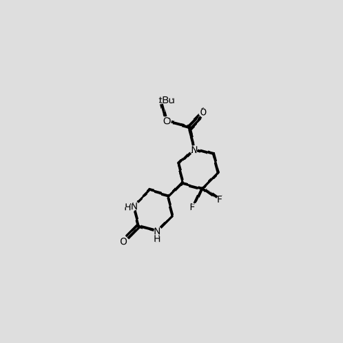 CC(C)(C)OC(=O)N1CCC(F)(F)C(C2CNC(=O)NC2)C1